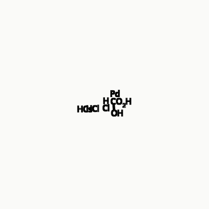 Cl.Cl.O=C(O)O.[CsH].[Pd]